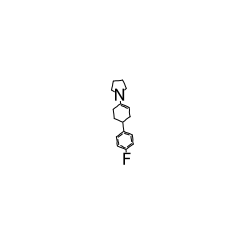 Fc1ccc(C2CC=C(N3CCCC3)CC2)cc1